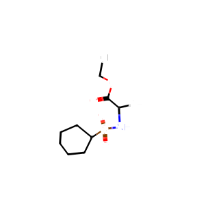 CCOC(=O)C(C)NS(=O)(=O)C1CCCCC1